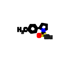 Cc1ccc([C@H]2CCCN2[S+]([O-])C(C)(C)C)cc1